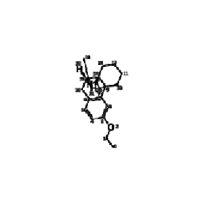 CCOc1ccc2c(c1)[C@@]13CCCC[C@H]1[C@@H](C2)N(C)CC3